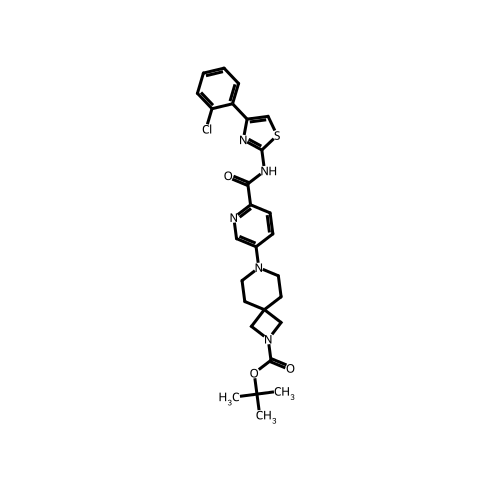 CC(C)(C)OC(=O)N1CC2(CCN(c3ccc(C(=O)Nc4nc(-c5ccccc5Cl)cs4)nc3)CC2)C1